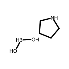 C1CCNC1.OBO